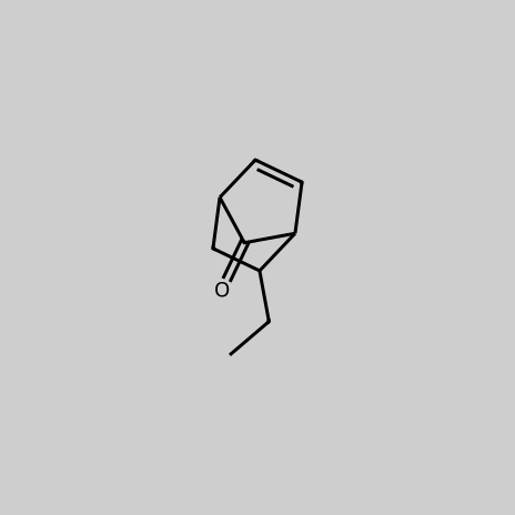 CCC1CC2C=CC1C2=O